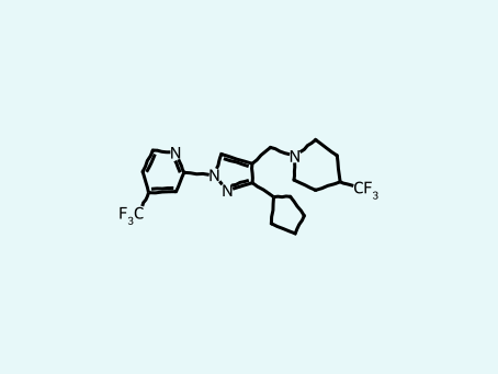 FC(F)(F)c1ccnc(-n2cc(CN3CCC(C(F)(F)F)CC3)c(C3CCCC3)n2)c1